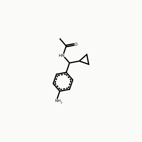 CC(=O)NC(c1ccc(N)cc1)C1CC1